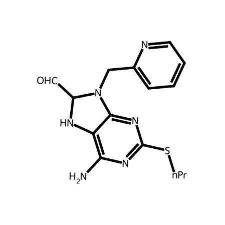 CCCSc1nc(N)c2c(n1)N(Cc1ccccn1)C(C=O)N2